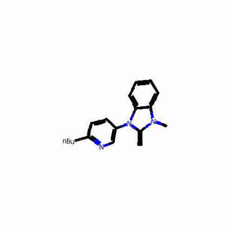 C=C1N(C)c2ccccc2N1c1ccc(CCCC)nc1